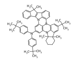 CC(C)(C)c1ccc(N(c2ccc(C(C)(C)C)cc2)c2cc3c4c(c2)-n2c5c(c6cccc(c62)B4c2cc(C(C)(C)C)cc4c2N3C2(C)CCCCC42C)C(C)(C)c2ccccc2-5)cc1